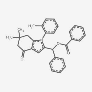 Cc1ccccc1-n1c(C(OC(=O)c2ccccc2)c2ccccc2)cc2c1CC(C)(C)CC2=O